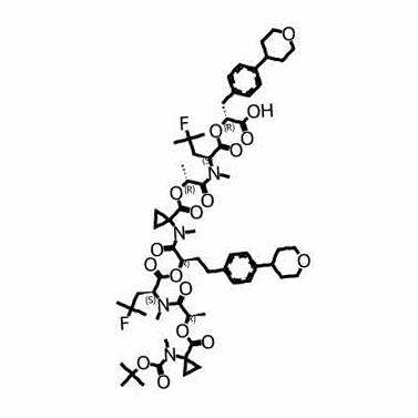 C[C@@H](OC(=O)C1(N(C)C(=O)OC(C)(C)C)CC1)C(=O)N(C)[C@@H](CC(C)(C)F)C(=O)O[C@H](CCc1ccc(C2CCOCC2)cc1)C(=O)N(C)C1(C(=O)O[C@H](C)C(=O)N(C)[C@@H](CC(C)(C)F)C(=O)O[C@H](Cc2ccc(C3CCOCC3)cc2)C(=O)O)CC1